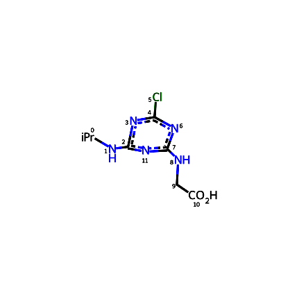 CC(C)Nc1nc(Cl)nc(NCC(=O)O)n1